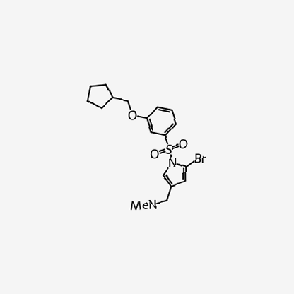 CNCc1cc(Br)n(S(=O)(=O)c2cccc(OCC3CCCC3)c2)c1